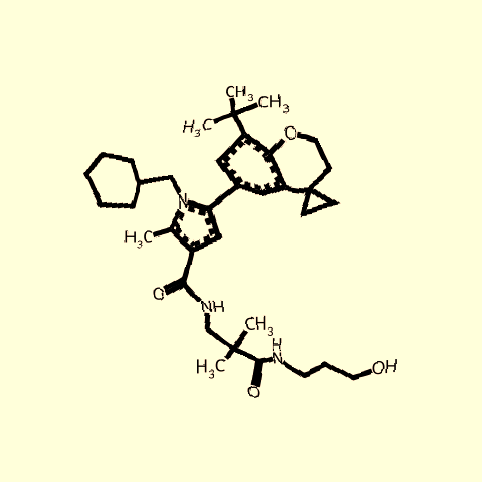 Cc1c(C(=O)NCC(C)(C)C(=O)NCCCO)cc(-c2cc(C(C)(C)C)c3c(c2)C2(CCO3)CC2)n1CC1CCCCC1